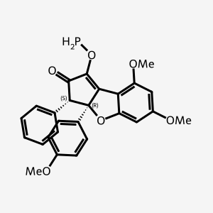 COc1ccc([C@@]23Oc4cc(OC)cc(OC)c4C2=C(OP)C(=O)[C@H]3c2ccccc2)cc1